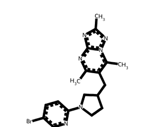 Cc1nc2nc(C)c(CC3CCN(c4ccc(Br)cn4)C3)c(C)n2n1